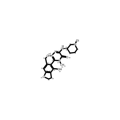 CCN1CCC[C@@H](Nc2nnc(-c3c(CO)cc4c(c3O)CCO4)n(C)c2=O)C1